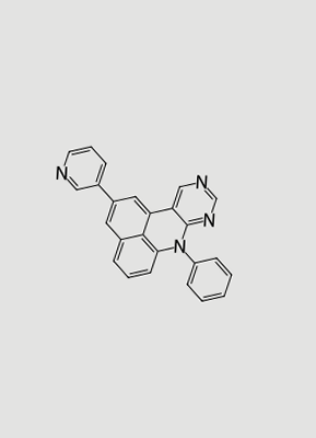 c1ccc(N2c3ncncc3-c3cc(-c4cccnc4)cc4cccc2c34)cc1